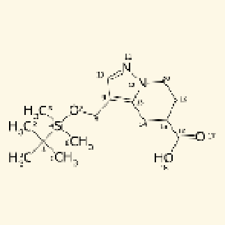 CC(C)(C)[Si](C)(C)OCc1cnn2c1CC(C(=O)O)CC2